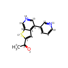 CC(=O)c1cc2c(-c3cccnc3)cncc2s1